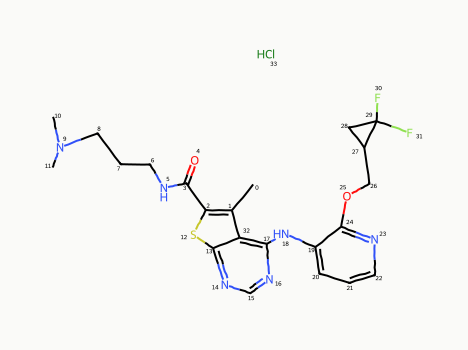 Cc1c(C(=O)NCCCN(C)C)sc2ncnc(Nc3cccnc3OCC3CC3(F)F)c12.Cl